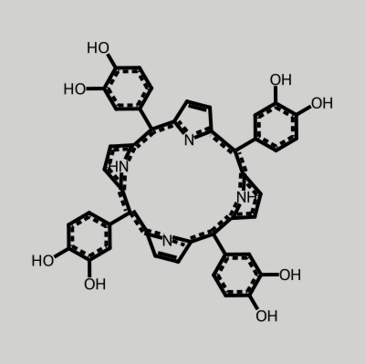 Oc1ccc(-c2c3nc(c(-c4ccc(O)c(O)c4)c4ccc([nH]4)c(-c4ccc(O)c(O)c4)c4nc(c(-c5ccc(O)c(O)c5)c5ccc2[nH]5)C=C4)C=C3)cc1O